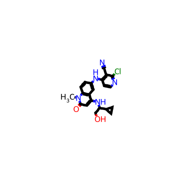 Cn1c(=O)cc(NC(CO)C2CC2)c2cc(Nc3ccnc(Cl)c3C#N)ccc21